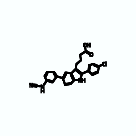 N#CNc1cccc(-c2ccc3[nH]c(-c4ccc(Cl)cc4)c(CCCC(=O)O)c3c2)c1